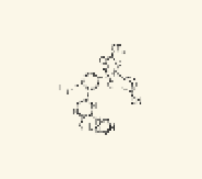 Cc1ccc(S(=O)(=O)N(OC(=O)C(F)(F)F)C23CCC(C#N)(C2)C3)cc1-c1cnc(N)c(-n2cncn2)n1